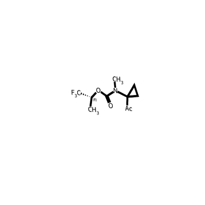 CC(=O)C1(N(C)C(=O)O[C@H](C)C(F)(F)F)CC1